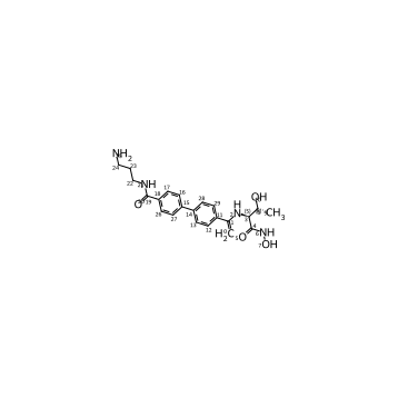 C=C(N[C@H](C(=O)NO)[C@@H](C)O)c1ccc(-c2ccc(C(=O)NCCCN)cc2)cc1